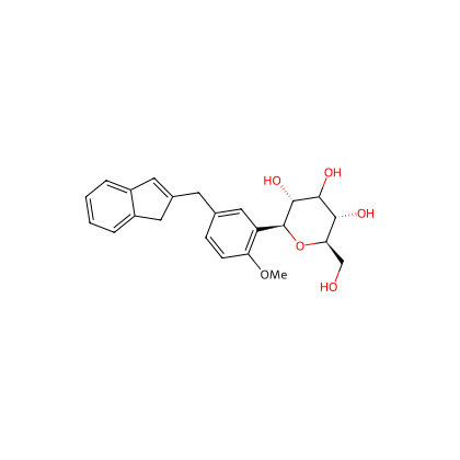 COc1ccc(CC2=Cc3ccccc3C2)cc1[C@@H]1O[C@H](CO)[C@@H](O)C(O)[C@H]1O